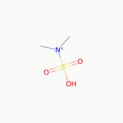 C[N+](C)S(=O)(=O)O